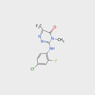 Cn1c(Nc2ccc(Cl)cc2F)nnc(C(F)(F)F)c1=O